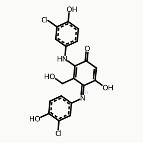 O=C1C=C(O)/C(=N/c2ccc(O)c(Cl)c2)C(CO)=C1Nc1ccc(O)c(Cl)c1